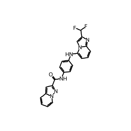 O=C(Nc1ccc(Nc2cccc3nc(C(F)F)cn23)cc1)c1cc2ccccn2n1